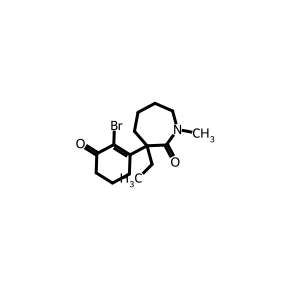 CCC1(C2=C(Br)C(=O)CCC2)CCCCN(C)C1=O